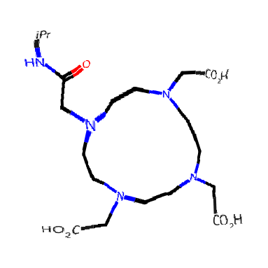 CC(C)NC(=O)CN1CCN(CC(=O)O)CCN(CC(=O)O)CCN(CC(=O)O)CC1